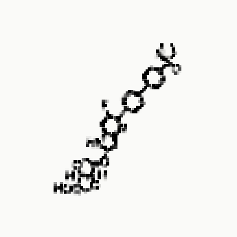 CCS(=O)(=NC)c1ccc(-c2ccc(-c3nc4cc(O[C@@H]5CO[C@H]6[C@@H]5OC[C@H]6O)[nH]c4cc3F)cc2)cc1